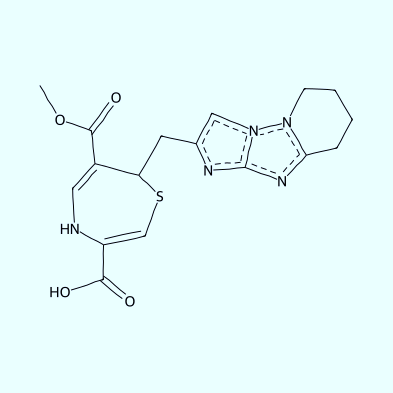 COC(=O)C1=CNC(C(=O)O)=CSC1Cc1cn2c(n1)nc1n2CCCC1